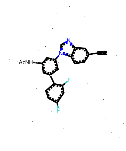 C#Cc1ccc2c(c1)ncn2-c1cc(NC(C)=O)cc(-c2ccc(F)cc2F)c1